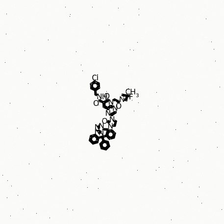 CC1(F)CN(C(=O)Cn2c(=O)c(C(=O)NCc3ccc(Cl)cc3)cc3nc(N4CCN(Cc5nnnn5C(c5ccccc5)(c5ccccc5)c5ccccc5)C4=O)cnc32)C1